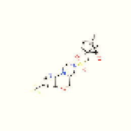 CC1(C)[C@@H]2CC[C@@]1(CS(=O)(=O)N1CCN3c4ncc(C(F)(F)F)cc4OCC3C1)C(=O)C2